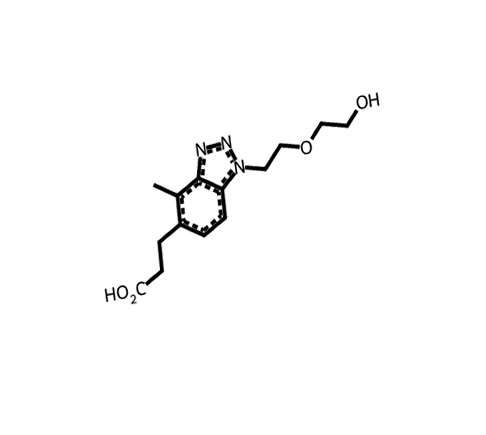 Cc1c(CCC(=O)O)ccc2c1nnn2CCOCCO